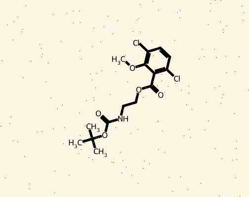 COc1c(Cl)ccc(Cl)c1C(=O)OCCNC(=O)OC(C)(C)C